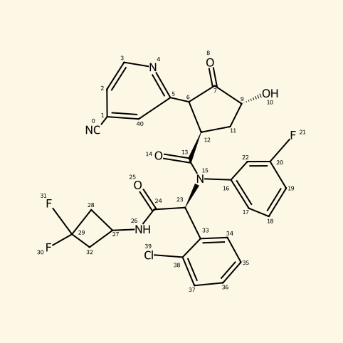 N#Cc1ccnc(C2C(=O)[C@H](O)C[C@H]2C(=O)N(c2cccc(F)c2)[C@H](C(=O)NC2CC(F)(F)C2)c2ccccc2Cl)c1